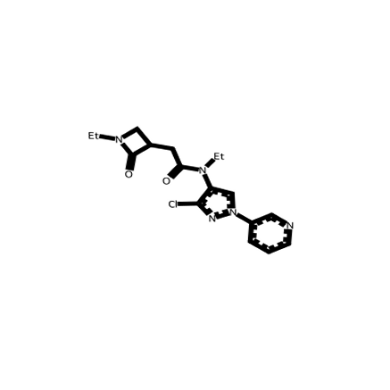 CCN1CC(CC(=O)N(CC)c2cn(-c3cccnc3)nc2Cl)C1=O